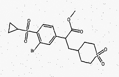 COC(=O)C(CC1CCS(=O)(=O)CC1)c1ccc(S(=O)(=O)C2CC2)c(Br)c1